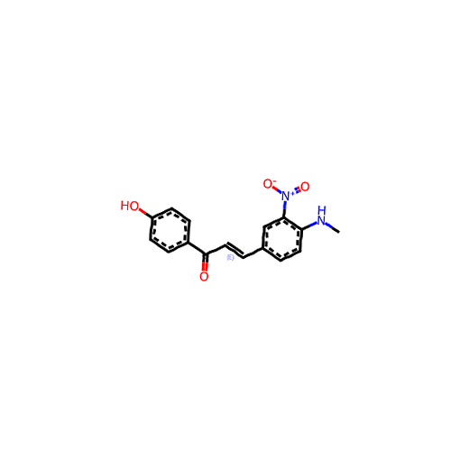 CNc1ccc(/C=C/C(=O)c2ccc(O)cc2)cc1[N+](=O)[O-]